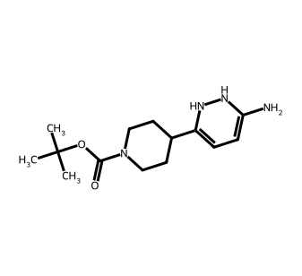 CC(C)(C)OC(=O)N1CCC(C2=CC=C(N)NN2)CC1